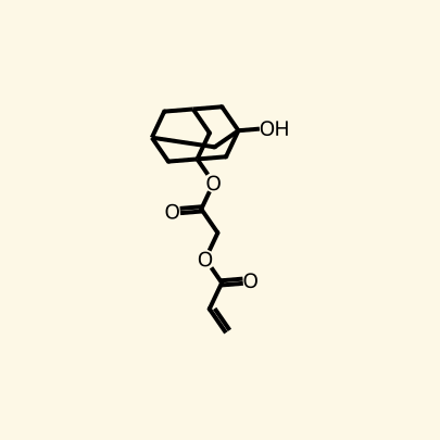 C=CC(=O)OCC(=O)OC12CC3CC(CC(O)(C3)C1)C2